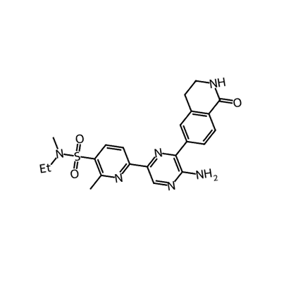 CCN(C)S(=O)(=O)c1ccc(-c2cnc(N)c(-c3ccc4c(c3)CCNC4=O)n2)nc1C